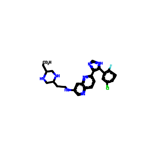 O=C(O)CC1CNC(CCNc2cnc3ccc(-c4nc[nH]c4-c4cc(Cl)ccc4F)nc3c2)CN1